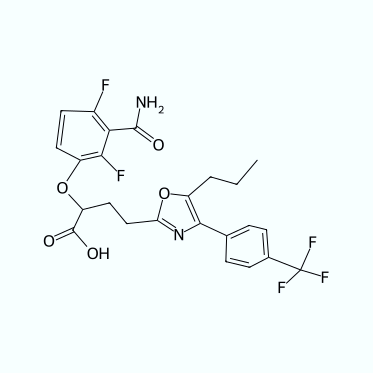 CCCc1oc(CCC(Oc2ccc(F)c(C(N)=O)c2F)C(=O)O)nc1-c1ccc(C(F)(F)F)cc1